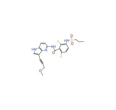 CCCS(=O)(=O)Nc1ccc(F)c(C(=O)Nc2ccc3[nH]cc(C#CCOC)c3n2)c1F